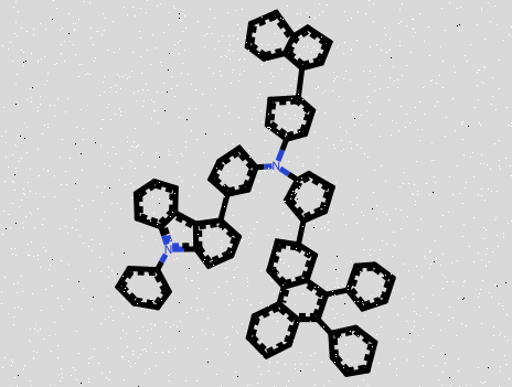 c1ccc(-c2c(-c3ccccc3)c3cc(-c4cccc(N(c5ccc(-c6cccc7ccccc67)cc5)c5cccc(-c6cccc7c6c6ccccc6n7-c6ccccc6)c5)c4)ccc3c3ccccc23)cc1